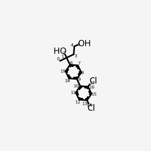 CC(O)(CCO)c1ccc(-c2ccc(Cl)cc2Cl)cc1